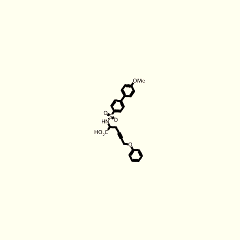 COc1ccc(-c2ccc(S(=O)(=O)NC(CC#CCOc3ccccc3)C(=O)O)cc2)cc1